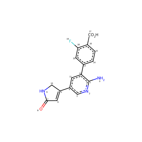 Nc1ncc(C2=CC(=O)NC2)cc1-c1ccc(C(=O)O)c(F)c1